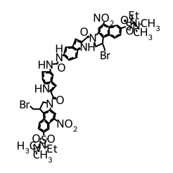 CCN(N(C)C)S(=O)(=O)c1ccc2c3c(cc([N+](=O)[O-])c2c1)N(C(=O)c1cc2cc(NC(=O)Nc4ccc5[nH]c(C(=O)N6CC(CBr)c7c6cc([N+](=O)[O-])c6cc(S(=O)(=O)N(CC)N(C)C)ccc76)cc5c4)ccc2[nH]1)CC3CBr